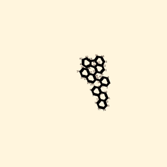 c1ccc(-c2cccc3c2ccc2ccccc23)c(-c2ccc3ccccc3c2-c2ccc3cccc4c3c2-c2ccccc2-4)c1